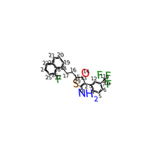 NC1=C(c2cccc(C(F)(F)F)c2)C(=O)C(CCc2cccc3cccc(F)c23)S1